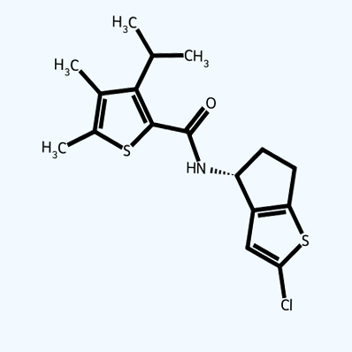 Cc1sc(C(=O)N[C@@H]2CCc3sc(Cl)cc32)c(C(C)C)c1C